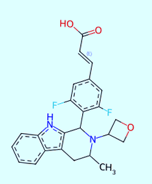 CC1Cc2c([nH]c3ccccc23)C(c2c(F)cc(/C=C/C(=O)O)cc2F)N1C1COC1